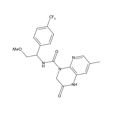 COCC(NC(=O)N1CC(=O)Nc2cc(C)cnc21)c1ccc(C(F)(F)F)cc1